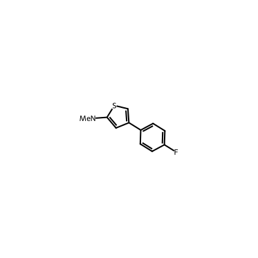 CNc1cc(-c2ccc(F)cc2)cs1